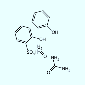 C=O.NC(N)=O.O=S(=O)(O)c1ccccc1O.Oc1ccccc1